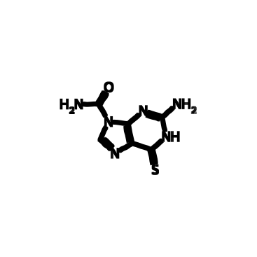 NC(=O)n1cnc2c(=S)[nH]c(N)nc21